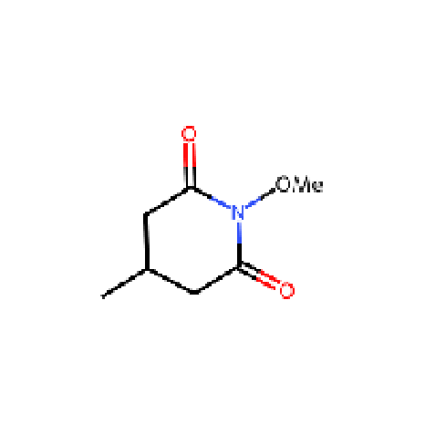 CON1C(=O)CC(C)CC1=O